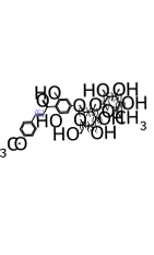 COc1ccc(/C=C/C(=O)c2c(O)cc(O[C@@H]3O[C@H](CO)[C@@H](O)[C@@H](O)[C@@H]3O[C@@H]3O[C@H](C)[C@H](O)[C@H](O)[C@@H]3O)cc2O)cc1